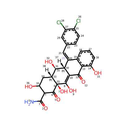 NC(=O)C1C(=O)[C@@]2(O)C(O)=C3C(=O)c4c(O)cccc4/C(=C\c4ccc(Cl)c(Cl)c4)[C@H]3[C@H](O)[C@H]2CC1O